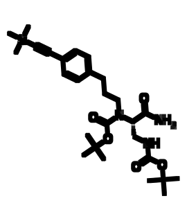 CC(C)(C)OC(=O)NC[C@@H](C(N)=O)N(CCCc1ccc(C#C[Si](C)(C)C)cc1)C(=O)OC(C)(C)C